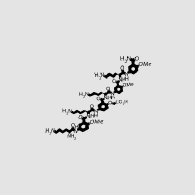 COc1ccc(NC(=O)[C@H](CCCCN)NC(=O)c2cc(NC(=O)[C@H](CCCCN)NC(=O)c3cc(NC(=O)[C@H](CCCCN)NC(=O)c4cc(NC(=O)[C@@H](N)CCCCN)ccc4OC)ccc3OCC(=O)O)ccc2OC)cc1C(N)=O